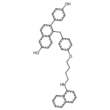 Oc1ccc(-c2ccc3cc(O)ccc3c2Cc2ccc(OCCCCNc3cccc4ccccc34)cc2)cc1